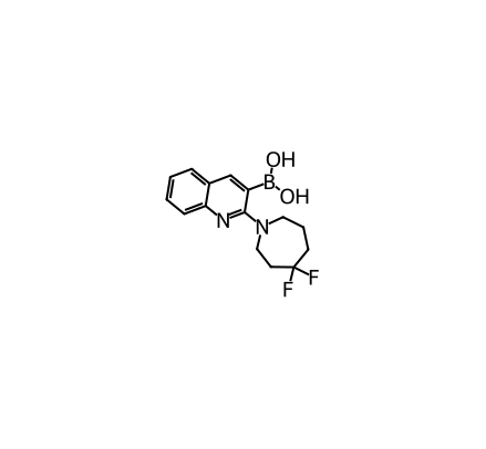 OB(O)c1cc2ccccc2nc1N1CCCC(F)(F)CC1